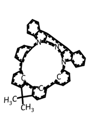 CC1(C)c2ccc3cc2c2cc(ccc21)c1cccc(c1)n1c2ccccc2c2c4c5ccccc5n(c5cccc3c5)c4cnc21